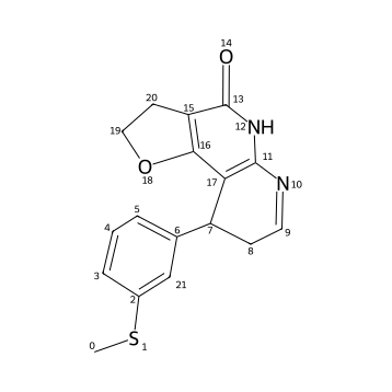 CSc1cccc(C2CC=Nc3[nH]c(=O)c4c(c32)OCC4)c1